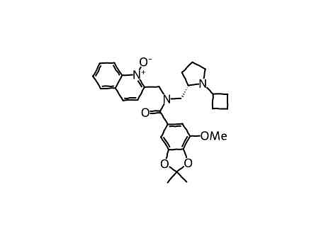 COc1cc(C(=O)N(Cc2ccc3ccccc3[n+]2[O-])C[C@@H]2CCCN2C2CCC2)cc2c1OC(C)(C)O2